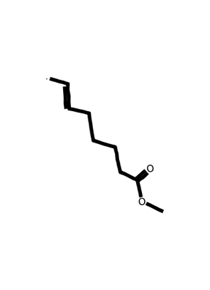 [CH2]C=CCCCCC(=O)OC